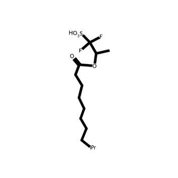 CC(C)CCCCCCCC(=O)OC(C)C(F)(F)S(=O)(=O)O